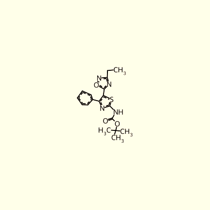 CCc1noc(-c2sc(NC(=O)OC(C)(C)C)nc2-c2ccccc2)n1